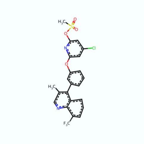 Cc1cnc2c(C(F)(F)F)cccc2c1-c1cccc(Oc2cc(Cl)cc(OS(C)(=O)=O)n2)c1